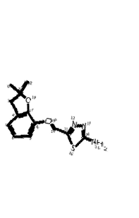 CC1(C)Cc2cccc(OCc3nnc(N)s3)c2O1